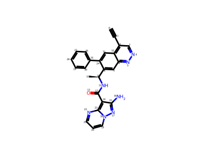 C#Cc1cnnc2cc([C@H](C)NC(=O)c3c(N)nn4cccnc34)c(-c3ccccc3)cc12